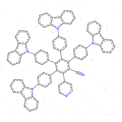 N#Cc1c(-c2ccncc2)c(-c2ccc(-n3c4ccccc4c4ccccc43)cc2)c(-c2ccc(-n3c4ccccc4c4ccccc43)cc2)c(-c2ccc(-n3c4ccccc4c4ccccc43)cc2)c1-c1ccc(-n2c3ccccc3c3ccccc32)cc1